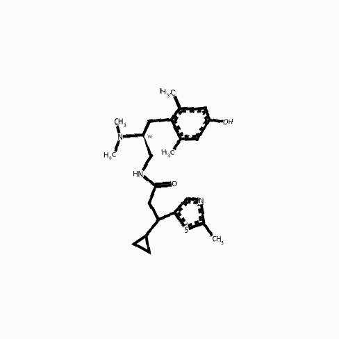 Cc1ncc(C(CC(=O)NC[C@H](Cc2c(C)cc(O)cc2C)N(C)C)C2CC2)s1